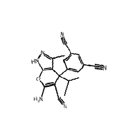 Cc1n[nH]c2c1C(c1cc(C#N)cc(C#N)c1)(C(C)C)C(C#N)=C(N)O2